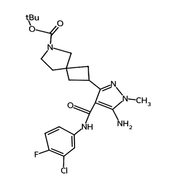 Cn1nc(C2CC3(CCN(C(=O)OC(C)(C)C)C3)C2)c(C(=O)Nc2ccc(F)c(Cl)c2)c1N